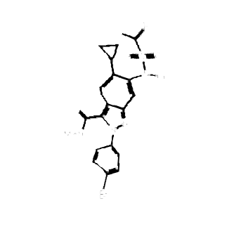 CCN(c1cc2nn(-c3ccc(Br)cc3)c(C(=O)NC)c2cc1C1CC1)S(=O)(=O)C(F)F